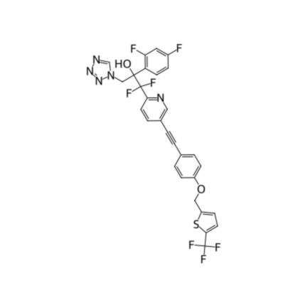 OC(Cn1cnnn1)(c1ccc(F)cc1F)C(F)(F)c1ccc(C#Cc2ccc(OCc3ccc(C(F)(F)F)s3)cc2)cn1